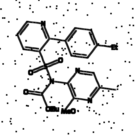 CCc1ccc(-c2ncccc2S(=O)(=O)N(C(=O)OCC(C)C)c2ncc(C)nc2OC)cc1